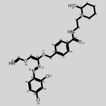 CC1CCCCN1CCNC(=O)c1ccc(CO/C(=C/OC=N)N=Nc2ccc(Cl)cc2Cl)cc1